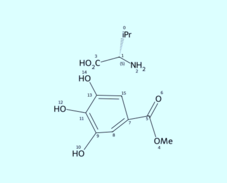 CC(C)[C@H](N)C(=O)O.COC(=O)c1cc(O)c(O)c(O)c1